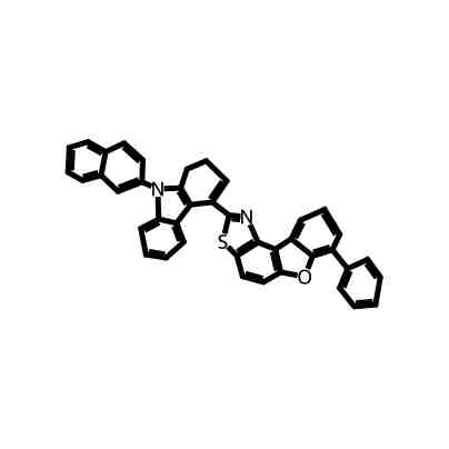 C1=C(c2nc3c(ccc4oc5c(-c6ccccc6)cccc5c43)s2)c2c(n(-c3ccc4ccccc4c3)c3ccccc23)CC1